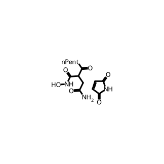 CCCCCC(=O)C(CC(N)=O)C(=O)NO.O=C1C=CC(=O)N1